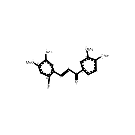 COc1ccc(C(=O)/C=C/c2cc(OC)c(OC)cc2Br)cc1OC